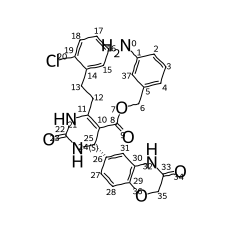 Nc1cccc(COC(=O)C2=C(CCc3ccccc3Cl)NC(=O)N[C@H]2c2ccc3c(c2)NC(=O)CO3)c1